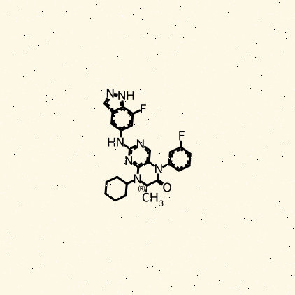 C[C@@H]1C(=O)N(c2cccc(F)c2)c2cnc(Nc3cc(F)c4[nH]ncc4c3)nc2N1C1CCCCC1